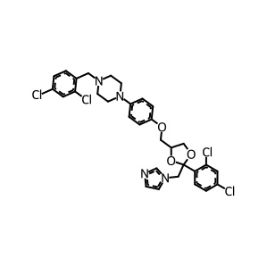 Clc1ccc(CN2CCN(c3ccc(OCC4COC(Cn5ccnc5)(c5ccc(Cl)cc5Cl)O4)cc3)CC2)c(Cl)c1